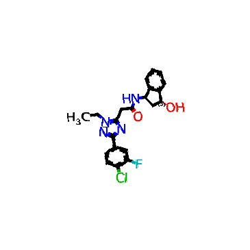 CCn1nc(-c2ccc(Cl)c(F)c2)nc1CC(=O)NC1C[C@H](O)c2ccccc21